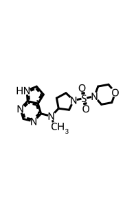 CN(c1ncnc2[nH]ccc12)C1CCN(S(=O)(=O)N2CCOCC2)C1